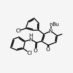 CCCCn1c(C)cc(=O)c(C(=O)Nc2ccccc2Cl)c1-c1cccc(Cl)c1